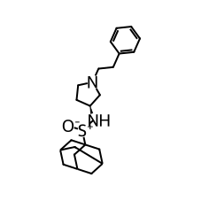 [O-][S+](N[C@H]1CCN(CCc2ccccc2)C1)C12CC3CC(CC(C3)C1)C2